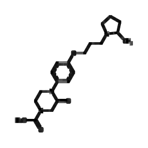 CC(C)COC(=O)N1CCN(c2ccc(OCCCN3CCCC3C)cc2)C(=O)C1